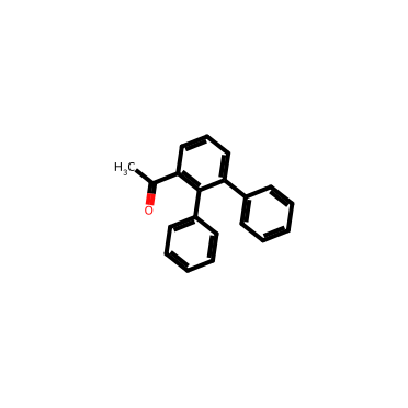 CC(=O)c1cccc(-c2ccccc2)c1-c1ccccc1